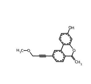 C=C1Oc2cc(O)ccc2-c2cc(C#CCOC)ccc21